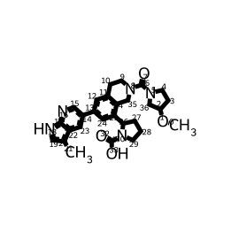 COC1CCN(C(=O)N2CCc3cc(-c4cnc5[nH]cc(C)c5c4)cc(C4CCCN4C(=O)O)c3C2)C1